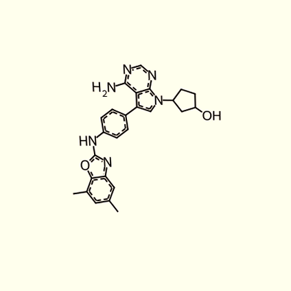 Cc1cc(C)c2oc(Nc3ccc(-c4cn(C5CCC(O)C5)c5ncnc(N)c45)cc3)nc2c1